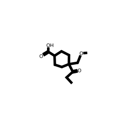 CCC(=O)C1(COC)CCC(C(=O)O)CC1